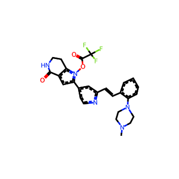 CN1CCN(c2ccccc2C=Cc2cc(-c3cc4c(n3OC(=O)C(F)(F)F)CCNC4=O)ccn2)CC1